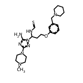 CN1CCN(c2nc(N)n(C(CCOc3cccc(CN4CCCCC4)c3)NC=S)n2)CC1